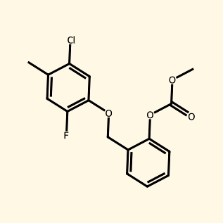 COC(=O)Oc1ccccc1COc1cc(Cl)c(C)cc1F